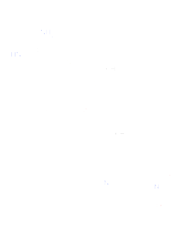 CSc1sc(C(=N)N)cc1S(=O)(=O)c1cccc(-c2ncc([N+](=O)[O-])cc2C)c1